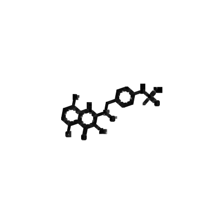 CC(=O)c1c([S+]([O-])Cc2ccc(NS(C)(=N)=O)cc2)[nH]c2c(Br)ccc(Cl)c2c1=O